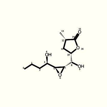 CCC[C@@H](O)[C@@H]1O[C@H]1C(O)[C@@H]1C[C@H](C)C(=O)O1